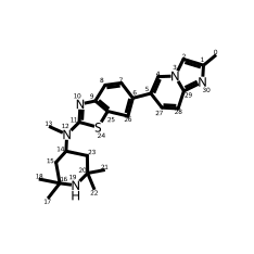 Cc1cn2cc(-c3ccc4nc(N(C)C5CC(C)(C)NC(C)(C)C5)sc4c3)ccc2n1